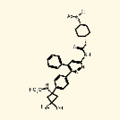 CCN(C(C)=O)[C@H]1CC[C@H](CC(=O)Nc2cc(-c3ccccc3)c(-c3ccc([C@]4(NC(=O)O)C[C@](C)(O)C4)cc3)nn2)CC1